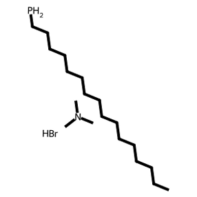 Br.CCCCCCCCCCCCCCCCP.CN(C)C